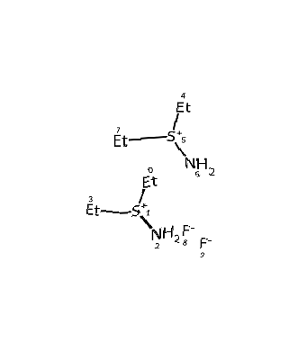 CC[S+](N)CC.CC[S+](N)CC.[F-].[F-]